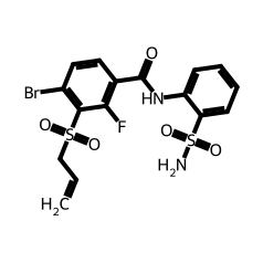 C=CCS(=O)(=O)c1c(Br)ccc(C(=O)Nc2ccccc2S(N)(=O)=O)c1F